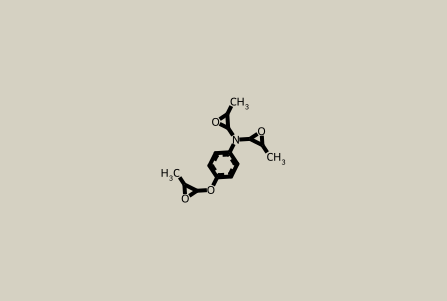 CC1OC1Oc1ccc(N(C2OC2C)C2OC2C)cc1